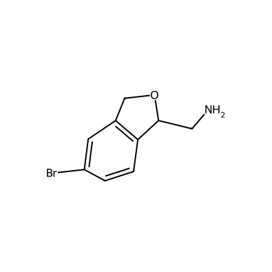 NCC1OCc2cc(Br)ccc21